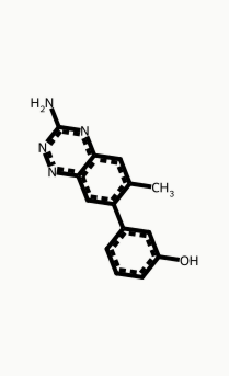 Cc1cc2nc(N)nnc2cc1-c1cccc(O)c1